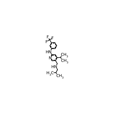 CC(C)CNCc1cnc(Nc2cccc(C(F)(F)F)c2)cc1C(C)C